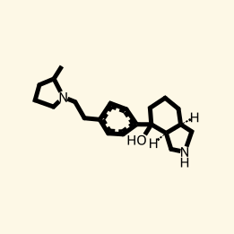 CC1CCCN1CCc1ccc(C2(O)CCC[C@H]3CNC[C@H]32)cc1